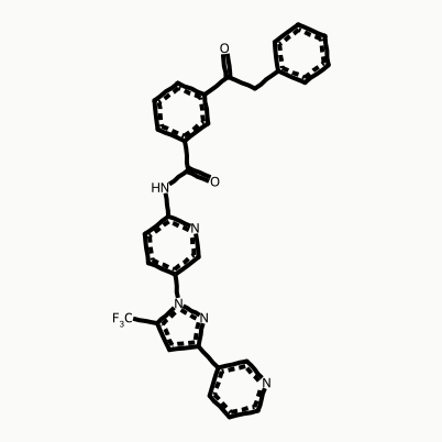 O=C(Cc1ccccc1)c1cccc(C(=O)Nc2ccc(-n3nc(-c4cccnc4)cc3C(F)(F)F)cn2)c1